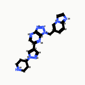 c1cn2cc(Cn3nnc4ncc(-c5cnn(C6CCNCC6)c5)nc43)ccc2n1